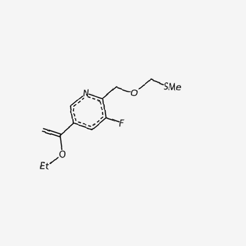 C=C(OCC)c1cnc(COCSC)c(F)c1